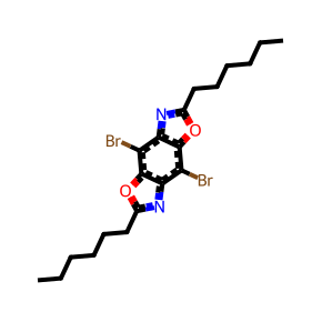 CCCCCCc1nc2c(Br)c3oc(CCCCCC)nc3c(Br)c2o1